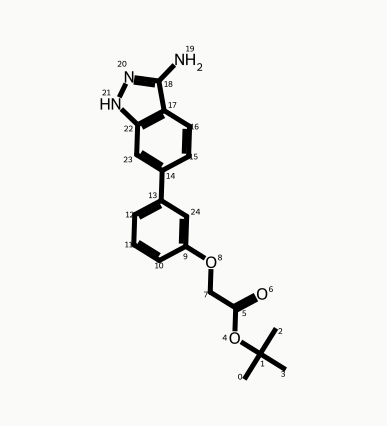 CC(C)(C)OC(=O)COc1cccc(-c2ccc3c(N)n[nH]c3c2)c1